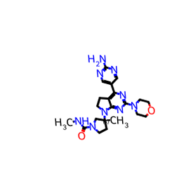 CNC(=O)N1CC[C@@](C)(N2CCc3c(-c4cnc(N)nc4)nc(N4CCOCC4)nc32)C1